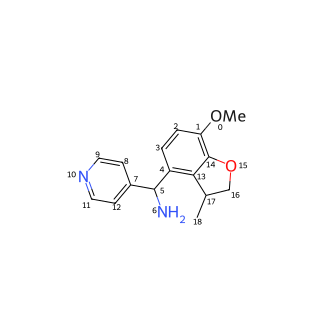 COc1ccc(C(N)c2ccncc2)c2c1OCC2C